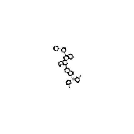 Cc1cccc(N(c2cccc(C)c2)c2ccc3cc(-c4cc5c6ccccc6c(-c6cccc(-c7ccccc7)c6)cc5c5ccccc45)ccc3c2)c1